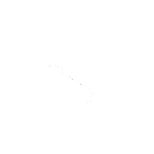 CCCCCCCCCCc1ccsc1-c1ccc(-c2ccc(-c3sc(-c4ccc(C#Cc5ccc(C#Cc6ccc(-c7cc(CCCCCCCCCC)c(-c8ccc(-c9ccc(-c%10sccc%10CCCCCCCCCC)s9)s8)s7)cc6)cc5)cc4)cc3CCCCCCCCCC)s2)s1